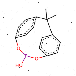 CC1(C)c2ccc(cc2)OP(O)Oc2ccc1cc2